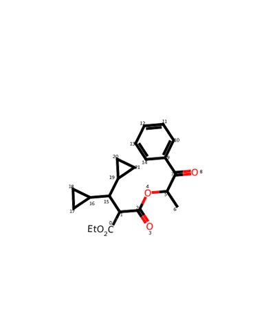 CCOC(=O)C(C(=O)OC(C)C(=O)c1ccccc1)C(C1CC1)C1CC1